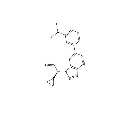 O=C[C@H](C1CC1)n1ncc2ncc(-c3cccc(C(F)F)c3)cc21